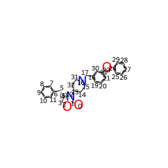 O=C1OC[C@H](Cc2ccccc2)N1C1CCN(Cc2cccc(Oc3ccccc3)c2)CC1